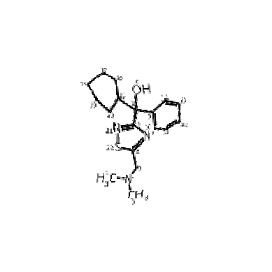 CN(C)Cc1nc(C(O)(c2ccccc2)C2CCCCC2)ns1